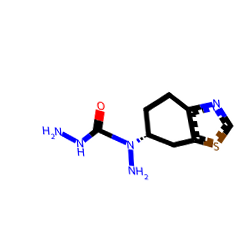 NNC(=O)N(N)[C@@H]1CCc2ncsc2C1